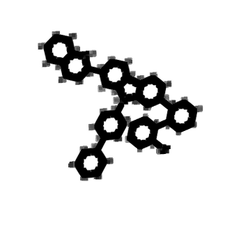 Brc1ccccc1-c1ccccc1-c1ccc2c3ccc(-c4ccc5ccccc5n4)cc3n(-c3ccc(-c4ccccc4)cc3)c2c1